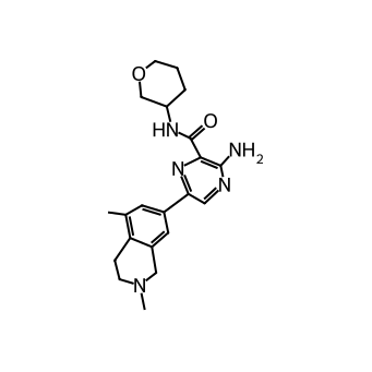 Cc1cc(-c2cnc(N)c(C(=O)NC3CCCOC3)n2)cc2c1CCN(C)C2